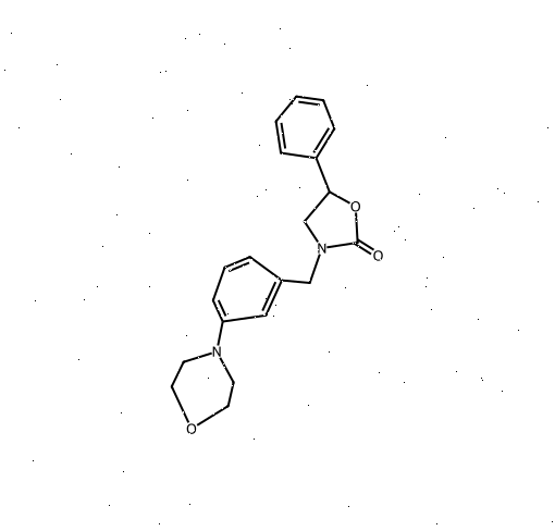 O=C1OC(c2ccccc2)CN1Cc1cccc(N2CCOCC2)c1